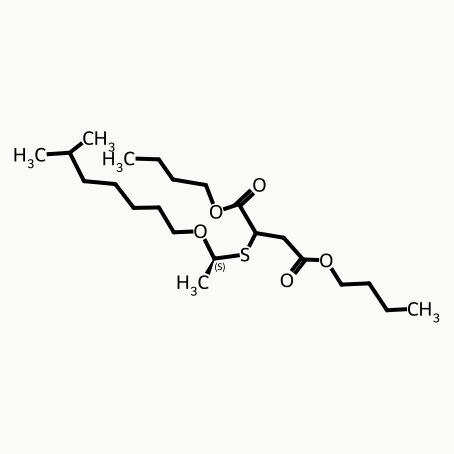 CCCCOC(=O)CC(S[C@@H](C)OCCCCCC(C)C)C(=O)OCCCC